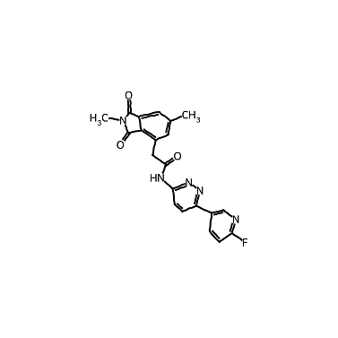 Cc1cc(CC(=O)Nc2ccc(-c3ccc(F)nc3)nn2)c2c(c1)C(=O)N(C)C2=O